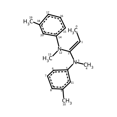 CC=C(N(C)c1cccc(C)c1)N(C)c1cccc(C)c1